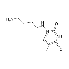 Cc1cn(NCCCCN)c(=O)[nH]c1=O